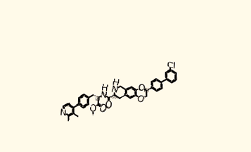 COC(=O)[C@H](Cc1ccc(-c2ccnc(C)c2C)cc1)NC(=O)[C@@H]1Cc2cc3c(cc2CN1)O[C@@H](c1ccc(-c2cccc(Cl)c2)cc1)CO3